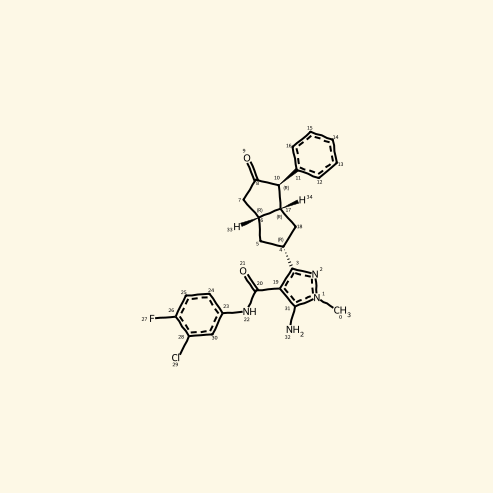 Cn1nc([C@@H]2C[C@@H]3CC(=O)[C@@H](c4ccccc4)[C@@H]3C2)c(C(=O)Nc2ccc(F)c(Cl)c2)c1N